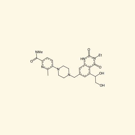 CCn1c(=O)[nH]c2cc(CN3CCN(c4ccc(C(=O)NC)nc4C)CC3)cc(C(O)CO)c2c1=O